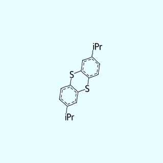 CC(C)c1ccc2c(c1)Sc1ccc(C(C)C)cc1S2